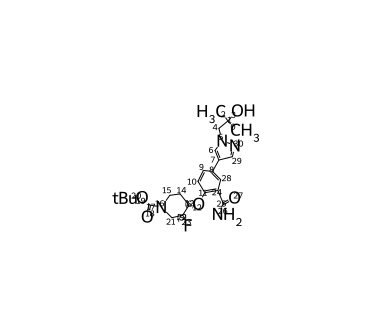 CC(C)(O)Cn1cc(-c2ccc(O[C@H]3CCN(C(=O)OC(C)(C)C)C[C@@H]3F)c(C(N)=O)c2)cn1